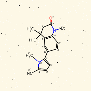 CCN1C(=O)CC(C)(C)c2cc(-c3ccc(C#N)n3C)ccc21